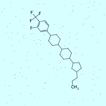 CCCC1CCC(C2CCC(C3CCC(c4ccc(C(F)(F)F)c(F)c4)CC3)CC2)C1